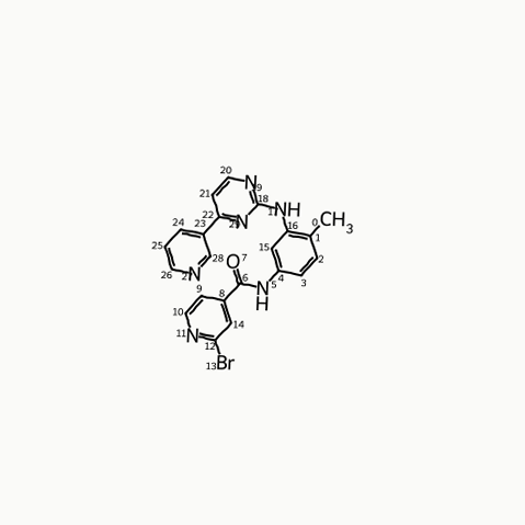 Cc1ccc(NC(=O)c2ccnc(Br)c2)cc1Nc1nccc(-c2cccnc2)n1